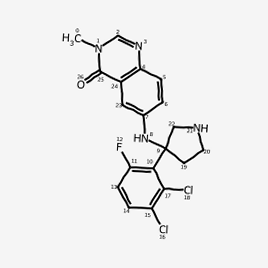 Cn1cnc2ccc(NC3(c4c(F)ccc(Cl)c4Cl)CCNC3)cc2c1=O